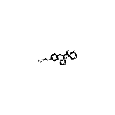 CCOc1ccc(CC(=C(O)C2(C)COCOC2)n2cncn2)cc1